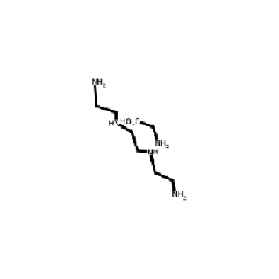 NCC(=O)O.NCCNCCNCCN